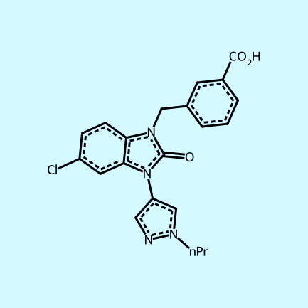 CCCn1cc(-n2c(=O)n(Cc3cccc(C(=O)O)c3)c3ccc(Cl)cc32)cn1